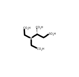 O=C(O)CN(CC(=O)O)[C@@H](CS(=O)(=O)O)C(=O)O